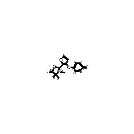 C[N+]1=C(c2occc2Oc2ccc(F)cc2)OC(I)C1(C)C